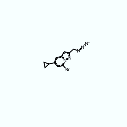 [N-]=[N+]=NCc1cc2cc(C3CC3)cc(Br)n2n1